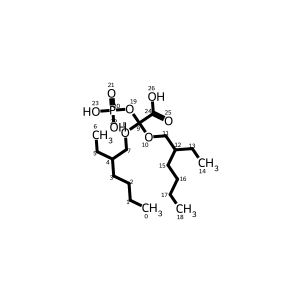 CCCCC(CC)COC(OCC(CC)CCCC)(OP(=O)(O)O)C(=O)O